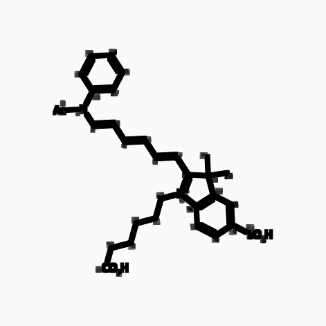 CC(=O)N(/C=C/C=C/C=C/C1=[N+](CCCCCC(=O)O)c2ccc(S(=O)(=O)O)cc2C1(C)C)c1ccccc1